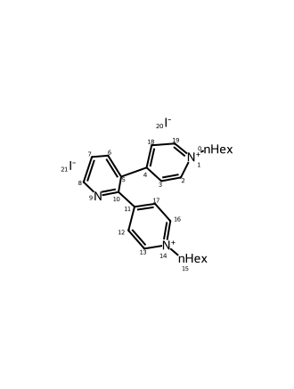 CCCCCC[n+]1ccc(-c2cccnc2-c2cc[n+](CCCCCC)cc2)cc1.[I-].[I-]